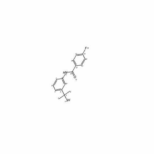 CC(C)(S)c1cccc(NC(=O)c2ccc(F)cc2)c1